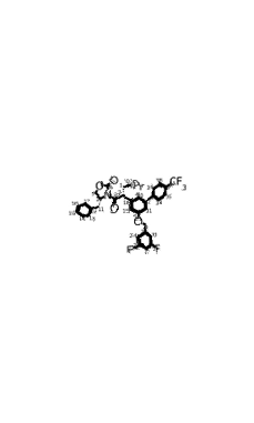 CC(C)C[C@@H](C(=O)N1C(=O)OC[C@H]1Cc1ccccc1)c1cc(OCc2cc(F)cc(F)c2)cc(-c2ccc(C(F)(F)F)cc2)c1